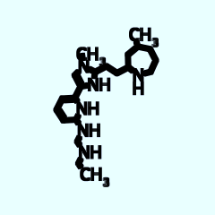 CCNCNC1C=CC=C(C2=CN(C)C(CCC3CC(C)CCCN3)N2)N1